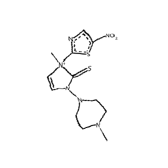 CN1CCN(N2C=C[N+](C)(c3ncc([N+](=O)[O-])s3)C2=S)CC1